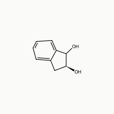 OC1c2ccccc2C[C@@H]1O